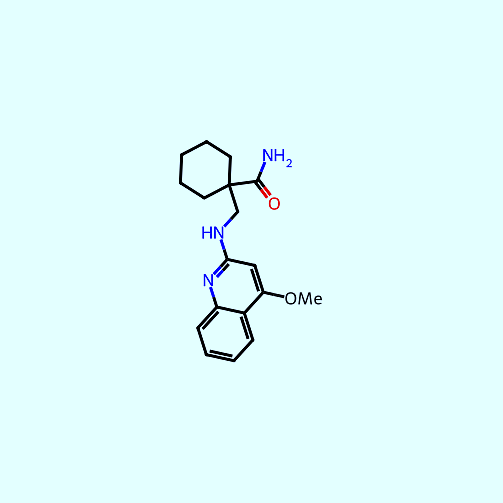 COc1cc(NCC2(C(N)=O)CCCCC2)nc2ccccc12